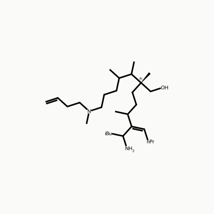 C=CCCN(C)CCCC(C)C(C)[C@](C)(CO)CCC(C)C(=CCCC)C(N)C(C)CC